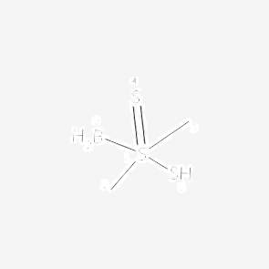 BS(C)(C)(=S)S